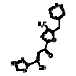 Cc1cc(C(=O)C=C(O)c2nc[nH]n2)oc1Cc1ccncc1